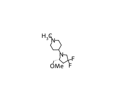 COC[C@H]1CC(F)(F)CN1C1CCN(C)CC1